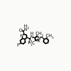 Cc1ccccc1Cn1nc(C(F)(F)F)c(NC(=O)c2cc(C(N)=O)nc3cc(F)ccc23)c1C